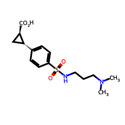 CN(C)CCCNS(=O)(=O)c1ccc([C@@H]2C[C@H]2C(=O)O)cc1